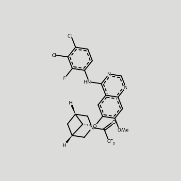 COc1cc2ncnc(Nc3ccc(Cl)c(Cl)c3F)c2cc1O[C@H]1[C@@H]2C[C@H]1CN(C(=O)C(F)(F)F)C2